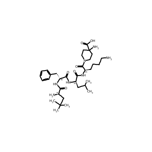 CC(C)C[C@@H](NC(=O)[C@@H](Cc1ccccc1)NC(=O)[C@H](N)CC(C)(C)C)C(=O)N[C@H](CCCCN)C(=O)N1CCC(N)(C(=O)O)CC1